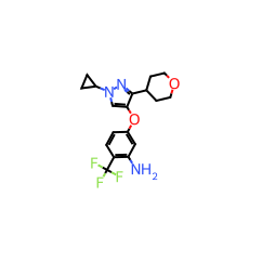 Nc1cc(Oc2cn(C3CC3)nc2C2CCOCC2)ccc1C(F)(F)F